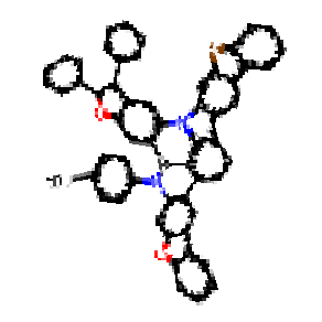 CC(C)(C)c1ccc(N2B3c4cc5oc(-c6ccccc6)c(-c6ccccc6)c5cc4-n4c5cc6sc7ccccc7c6cc5c5ccc(c3c54)-c3cc4c(cc32)oc2ccccc24)cc1